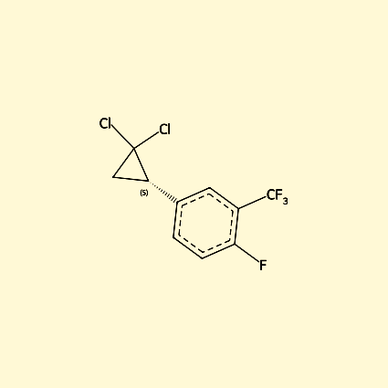 Fc1ccc([C@@H]2CC2(Cl)Cl)cc1C(F)(F)F